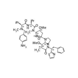 CC[C@H](C)[C@@H]([C@@H](CC(=O)N1CCC[C@H]1[C@H](OC)[C@@H](C)C(=O)N[C@@H](Cc1ccccc1)c1nccs1)OC)N(C)C(=O)[C@@H](NC(=O)[C@H](C(C)C)N(C)Cc1ccc(N)cc1)C(C)C